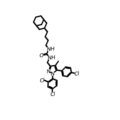 Cc1c(CNC(=O)NCCCCC2CC3CCCC(C2)C3)nn(-c2ccc(Cl)cc2Cl)c1-c1ccc(Cl)cc1